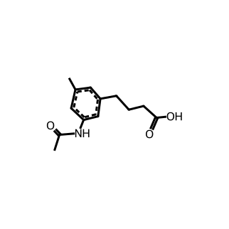 CC(=O)Nc1cc(C)cc(CCCC(=O)O)c1